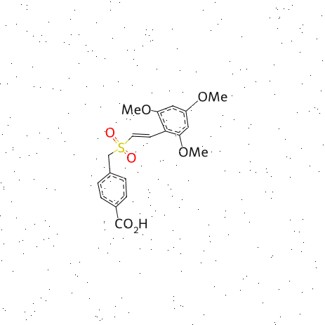 COc1cc(OC)c(C=CS(=O)(=O)Cc2ccc(C(=O)O)cc2)c(OC)c1